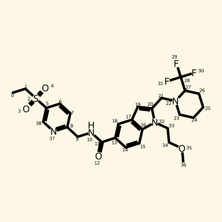 CCS(=O)(=O)c1ccc(CNC(=O)c2ccc3c(c2)cc(CN2CCCCC2C(F)(F)F)n3CCOC)nc1